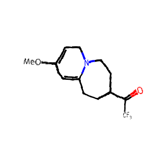 COC1=CCN2CCC(C(=O)C(F)(F)F)CCC2=C1